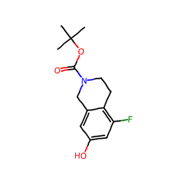 CC(C)(C)OC(=O)N1CCc2c(F)cc(O)cc2C1